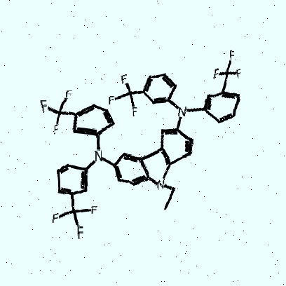 CCn1c2ccc(N(c3cccc(C(F)(F)F)c3)c3cccc(C(F)(F)F)c3)cc2c2cc(N(c3cccc(C(F)(F)F)c3)c3cccc(C(F)(F)F)c3)ccc21